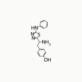 NC(Cc1ccc(O)cc1)c1nnc(Nc2ccccc2)s1